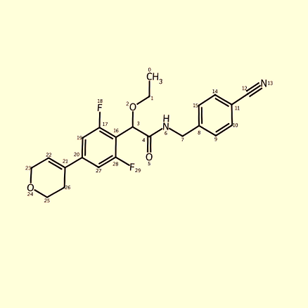 CCOC(C(=O)NCc1ccc(C#N)cc1)c1c(F)cc(C2=CCOCC2)cc1F